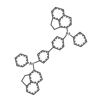 c1ccc([As](c2ccc(-c3ccc([As](c4ccccc4)c4ccc5cccc6c5c4CC6)cc3)cc2)c2ccc3cccc4c3c2CC4)cc1